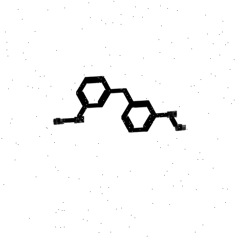 CC(C)(C)Nc1cccc(Cc2cccc(NC(C)(C)C)c2)c1